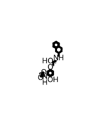 CS(=O)(=O)Nc1cc(OC[C@@H](O)CNCC2CCc3ccccc3C2)ccc1O